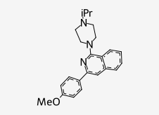 COc1ccc(-c2cc3ccccc3c(N3CCN(C(C)C)CC3)n2)cc1